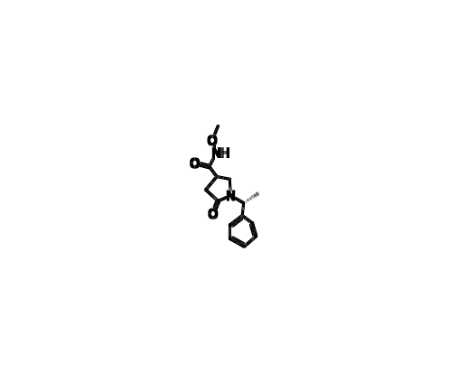 CONC(=O)C1CC(=O)N([C@H](C)c2ccccc2)C1